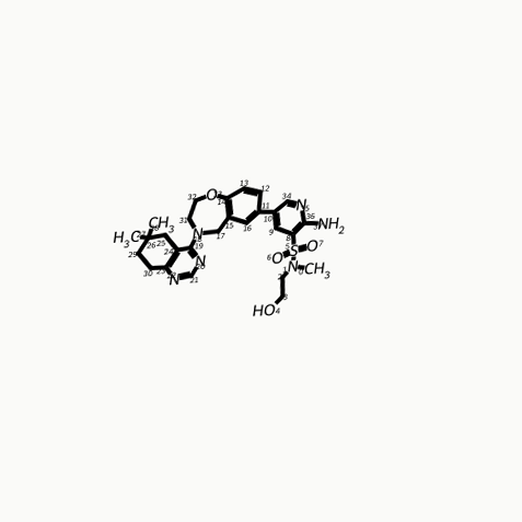 CN(CCO)S(=O)(=O)c1cc(-c2ccc3c(c2)CN(c2ncnc4c2CC(C)(C)CC4)CCO3)cnc1N